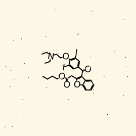 CCCCOC(=O)Cc1oc2ccccc2c1C(=O)c1cc(I)c(OCCN(CC)CC)c(I)c1